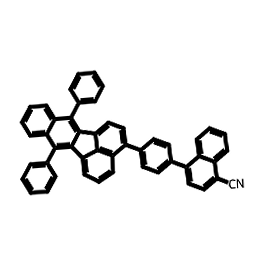 N#Cc1ccc(-c2ccc(-c3ccc4c5c(cccc35)-c3c-4c(-c4ccccc4)c4ccccc4c3-c3ccccc3)cc2)c2ccccc12